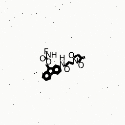 CC1CC(=O)N(CCC(=O)Nc2ccc3c(c2)C(COC(=O)NF)c2ccccc2-3)C1=O